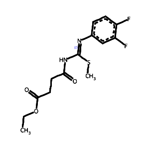 CCOC(=O)CCC(=O)N/C(=N/c1ccc(F)c(F)c1)SC